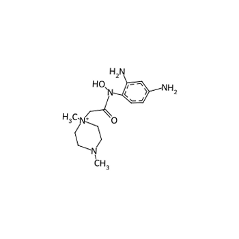 CN1CC[N+](C)(CC(=O)N(O)c2ccc(N)cc2N)CC1